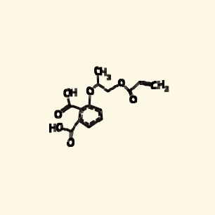 C=CC(=O)OCC(C)Oc1cccc(C(=O)O)c1C(=O)O